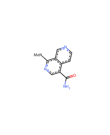 CNc1ncc(C(N)=O)c2ccncc12